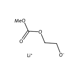 COC(=O)OCC[O-].[Li+]